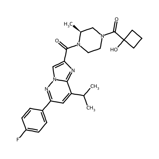 CC(C)c1cc(-c2ccc(F)cc2)nn2cc(C(=O)N3CCN(C(=O)C4(O)CCC4)C[C@@H]3C)nc12